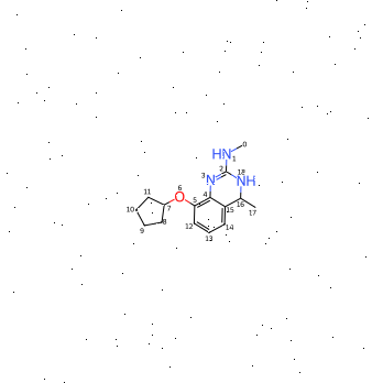 CNC1=Nc2c(OC3CCCC3)cccc2C(C)N1